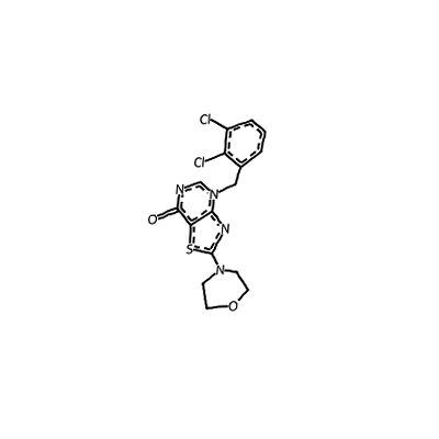 O=c1ncn(Cc2cccc(Cl)c2Cl)c2nc(N3CCOCC3)sc12